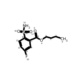 CCCCOC(=O)c1cc(F)ccc1S(N)(=O)=O